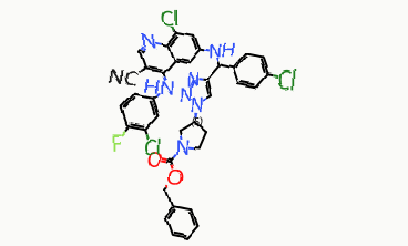 N#Cc1cnc2c(Cl)cc(NC(c3ccc(Cl)cc3)c3cn([C@H]4CCN(C(=O)OCc5ccccc5)C4)nn3)cc2c1Nc1ccc(F)c(Cl)c1